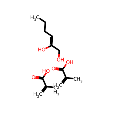 C=C(C)C(=O)O.C=C(C)C(=O)O.CCCC=C(O)CO